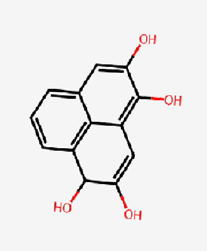 OC1=Cc2c(O)c(O)cc3cccc(c23)C1O